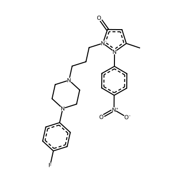 Cc1cc(=O)n(CCCN2CCN(c3ccc(F)cc3)CC2)n1-c1ccc([N+](=O)[O-])cc1